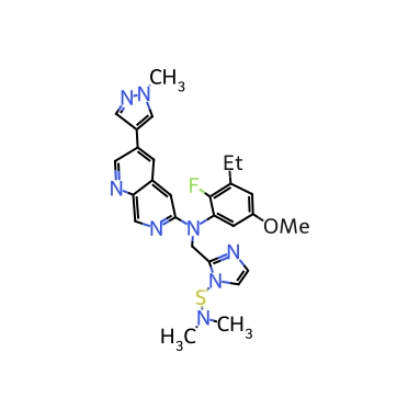 CCc1cc(OC)cc(N(Cc2nccn2SN(C)C)c2cc3cc(-c4cnn(C)c4)cnc3cn2)c1F